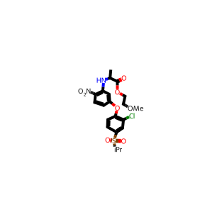 COCCOC(=O)C(C)Nc1cc(Oc2ccc(S(=O)(=O)C(C)C)cc2Cl)ccc1[N+](=O)[O-]